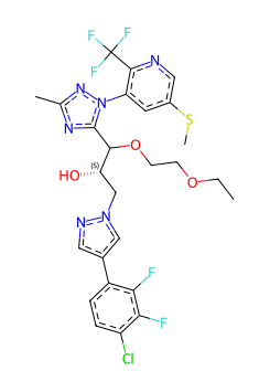 CCOCCOC(c1nc(C)nn1-c1cc(SC)cnc1C(F)(F)F)[C@@H](O)Cn1cc(-c2ccc(Cl)c(F)c2F)cn1